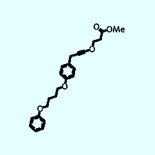 COC(=O)CCOC#CCc1ccc(OCCCCOc2ccccc2)cc1